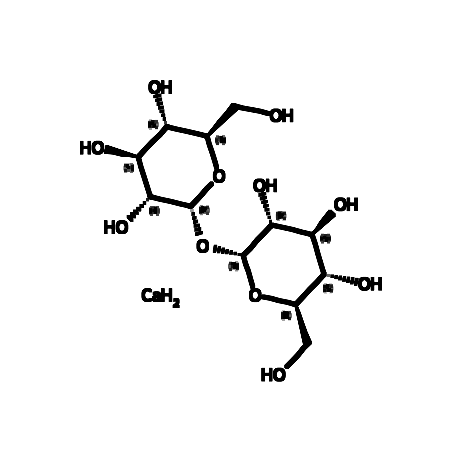 OC[C@H]1O[C@H](O[C@H]2O[C@H](CO)[C@@H](O)[C@H](O)[C@H]2O)[C@H](O)[C@@H](O)[C@@H]1O.[CaH2]